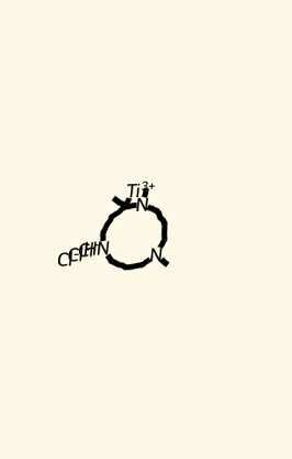 CN1CCCNCC[C](C)([Ti+3])N(C)CCC1.[Cl-].[Cl-].[Cl-]